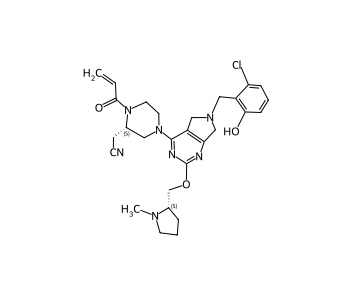 C=CC(=O)N1CCN(c2nc(OC[C@@H]3CCCN3C)nc3c2CN(Cc2c(O)cccc2Cl)C3)C[C@@H]1CC#N